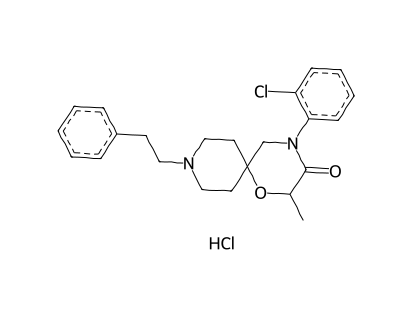 CC1OC2(CCN(CCc3ccccc3)CC2)CN(c2ccccc2Cl)C1=O.Cl